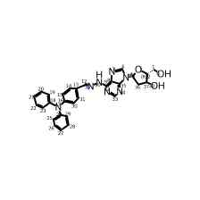 OC[C@H]1O[C@@H](n2cnc3c(N/N=C/c4ccc(N(c5ccccc5)c5ccccc5)cc4)ncnc32)CC1O